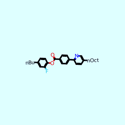 CCCCCCCCc1ccc(-c2ccc(C(=O)Oc3ccc(CCCC)cc3F)cc2)nc1